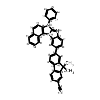 CC1(C)c2cc(C#N)ccc2-c2ccc(-c3ccc4nc5n(-c6ccccc6)c6ccc7ccccc7c6n5c4c3)cc21